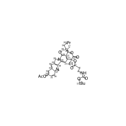 CCC1(OC(=O)CCNC(=O)OC(C)(C)C)C(=O)OC([Si](C)(C)CC(C)C)c2c1cc1n(c2=O)Cc2cc3cc(OC(C)=O)ccc3nc2-1